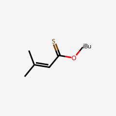 CCC(C)OC(=S)C=C(C)C